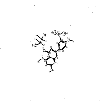 CC(C)(O)C(C)(C)O.COc1cc(OC)c2c(=O)cc(-c3ccc(OC)c(B(O)O)c3)oc2c1